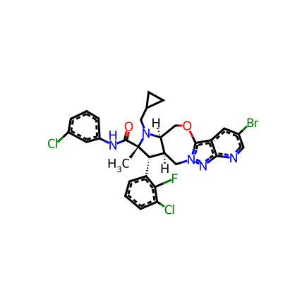 C[C@]1(C(=O)Nc2cccc(Cl)c2)[C@@H](c2cccc(Cl)c2F)[C@@H]2Cn3nc4ncc(Br)cc4c3OC[C@@H]2N1CC1CC1